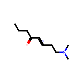 CCCC(=O)/C=C/CCN(C)C